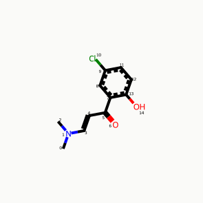 CN(C)/C=C/C(=O)c1cc(Cl)ccc1O